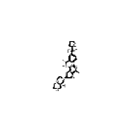 Cc1nnc(N[C@H](C)c2cccc(C(F)(F)C3CCCO3)c2)c2cc(N3CCN4CCOC[C@@H]4C3)cnc12